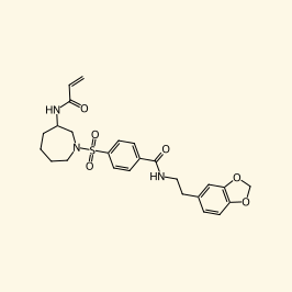 C=CC(=O)NC1CCCCN(S(=O)(=O)c2ccc(C(=O)NCCc3ccc4c(c3)OCO4)cc2)C1